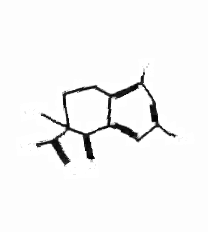 O=C(O)C1(O)CCc2c(Br)cc(Br)cc2C1=O